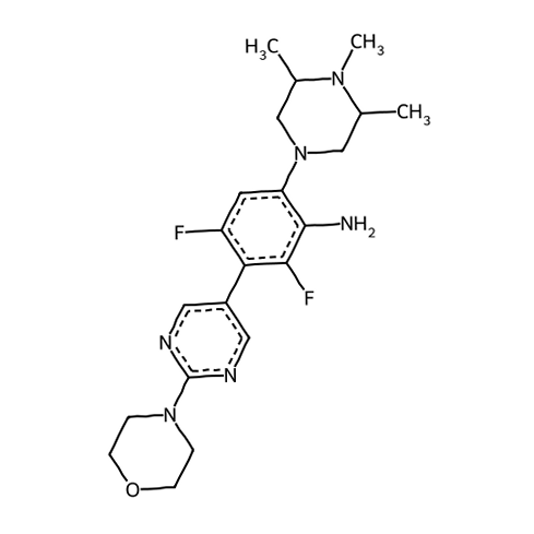 CC1CN(c2cc(F)c(-c3cnc(N4CCOCC4)nc3)c(F)c2N)CC(C)N1C